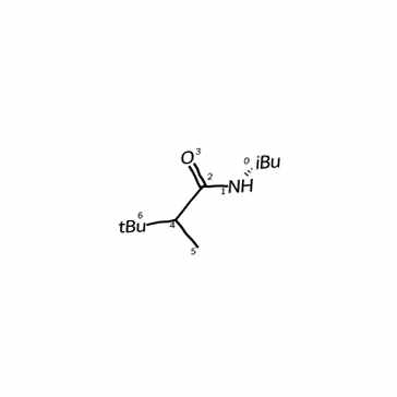 CC[C@@H](C)NC(=O)C(C)C(C)(C)C